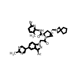 CC(=O)c1nn(CC(=O)N2C3C[C@]3(CN3CC4(CCCC4)C3)C[C@H]2C(=O)Nc2nc(Br)ccc2C)c2ccc(-c3cnc(C)nc3)cc12